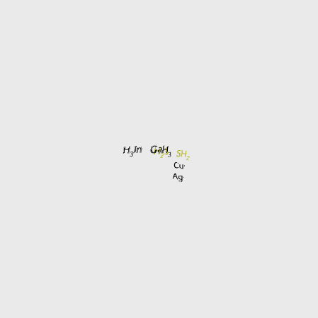 S.S.[Ag].[Cu].[GaH3].[InH3]